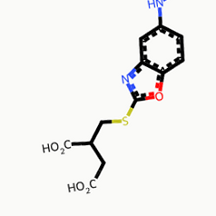 CCNc1ccc2oc(SCC(CC(=O)O)C(=O)O)nc2c1